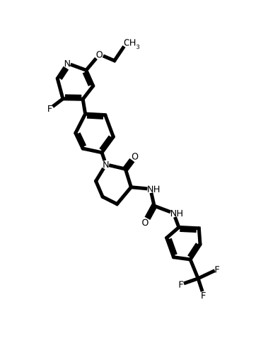 CCOc1cc(-c2ccc(N3CCCC(NC(=O)Nc4ccc(C(F)(F)F)cc4)C3=O)cc2)c(F)cn1